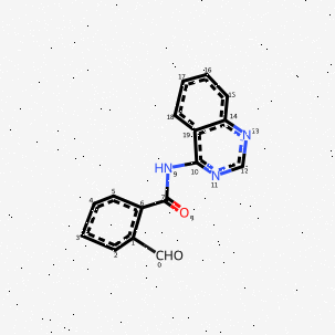 O=Cc1ccccc1C(=O)Nc1n[c]nc2ccccc12